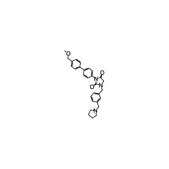 COCc1ccc(-c2ccc(N3C(=O)CN(Cc4cccc(CN5CCCC5)c4)C3=O)cc2)cc1